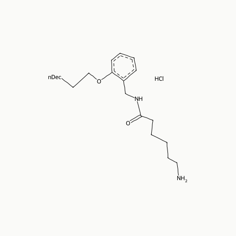 CCCCCCCCCCCCOc1ccccc1CNC(=O)CCCCCN.Cl